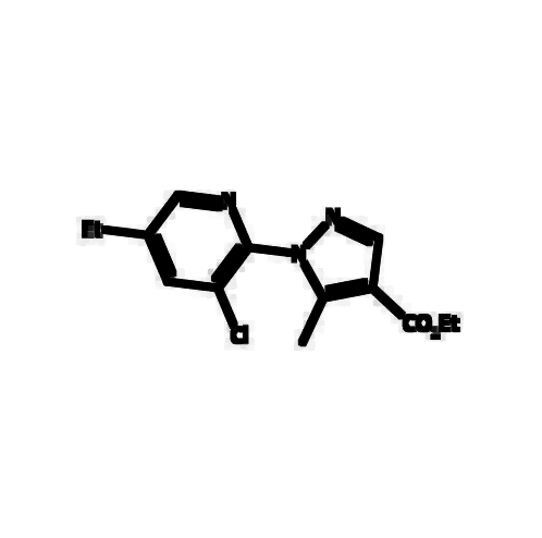 CCOC(=O)c1cnn(-c2ncc(CC)cc2Cl)c1C